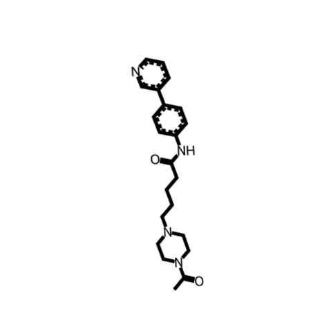 CC(=O)N1CCN(CCCCC(=O)Nc2ccc(-c3cccnc3)cc2)CC1